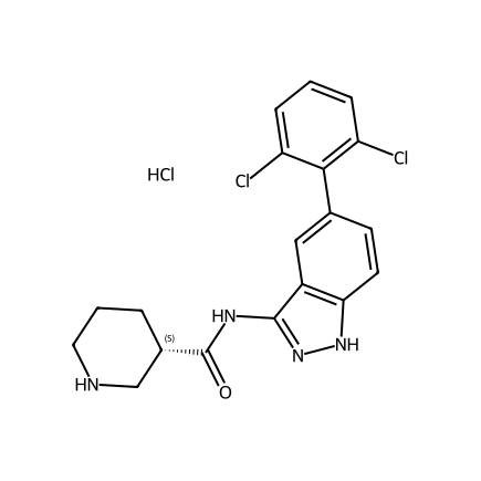 Cl.O=C(Nc1n[nH]c2ccc(-c3c(Cl)cccc3Cl)cc12)[C@H]1CCCNC1